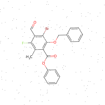 Cc1c(F)c(C=O)c(Br)c(OCc2ccccc2)c1C(=O)Oc1ccccc1